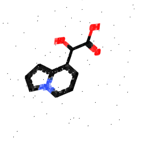 O=C(O)C(O)c1cccn2cccc12